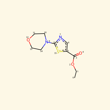 CCOC(=O)c1cnc(N2CCOCC2)s1